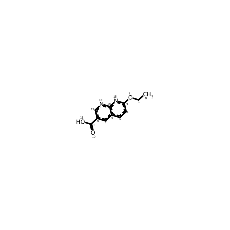 CCOc1ccc2cc(C(=O)O)cnc2n1